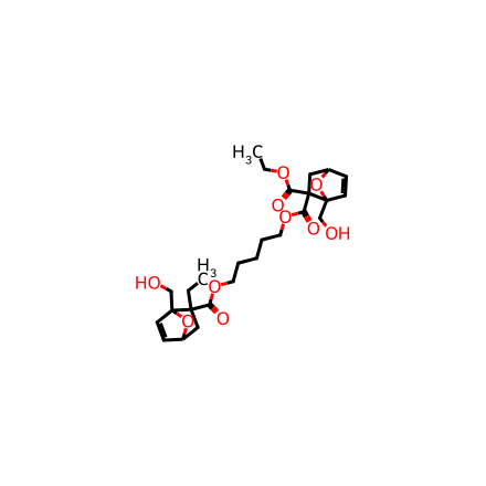 CCOC(=O)C1(C(=O)OCCCCCOC(=O)C2(CC)CC3C=CC2(CO)O3)CC2C=CC1(CO)O2